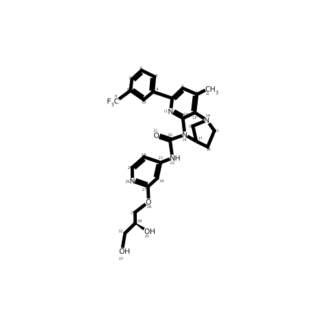 Cc1cc(-c2cccc(C(F)(F)F)c2)nc2c1N1CCC(C1)N2C(=O)Nc1ccnc(OC[C@@H](O)CO)c1